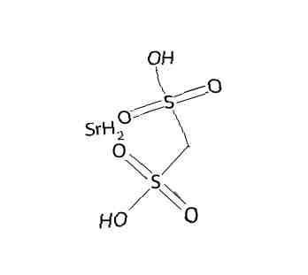 O=S(=O)(O)CS(=O)(=O)O.[SrH2]